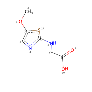 COc1cnc(NCC(=O)O)s1